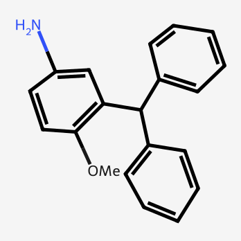 COc1ccc(N)cc1C(c1ccccc1)c1ccccc1